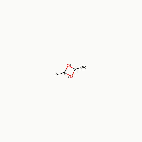 CC(=O)C1OC(C)O1